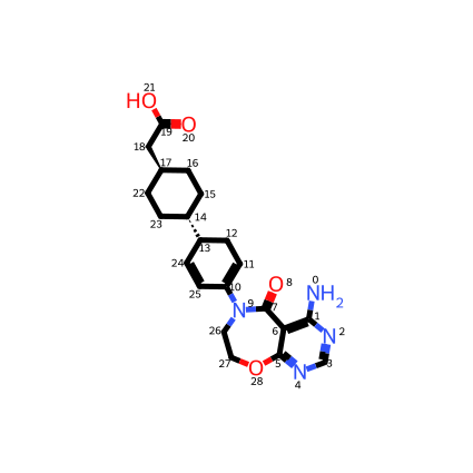 Nc1ncnc2c1C(=O)N(C1=CCC([C@H]3CC[C@H](CC(=O)O)CC3)C=C1)CCO2